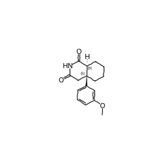 COc1cccc([C@]23CCCC[C@@H]2C(=O)NC(=O)C3)c1